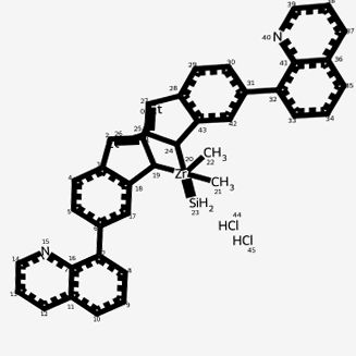 CCC1=Cc2ccc(-c3cccc4cccnc34)cc2[CH]1[Zr]([CH3])([CH3])(=[SiH2])[CH]1C(CC)=Cc2ccc(-c3cccc4cccnc34)cc21.Cl.Cl